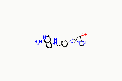 Nc1nccc2c(NCc3ccc(N4CC5(CC(O)c6nccn65)C4)cc3)cccc12